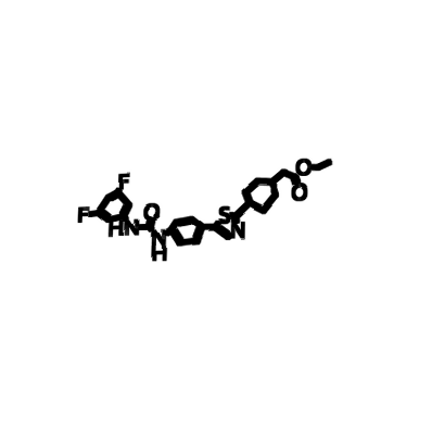 CCOC(=O)CC1CCC(c2ncc(-c3ccc(NC(=O)Nc4cc(F)cc(F)c4)cc3)s2)CC1